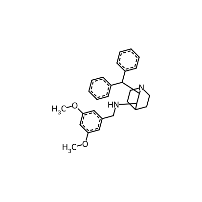 COc1cc(CNC2C3CCN(CC3)C2C(c2ccccc2)c2ccccc2)cc(OC)c1